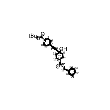 CC(C)(C)OC(=O)N1CC=C(C#CC2(O)CCN(C(=O)OCc3ccccc3)CC2)CC1